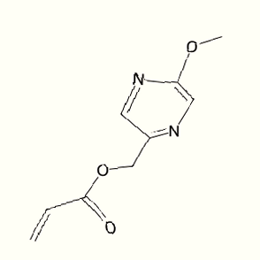 C=CC(=O)OCc1cnc(OC)cn1